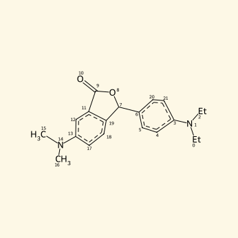 CCN(CC)c1ccc(C2OC(=O)c3cc(N(C)C)ccc32)cc1